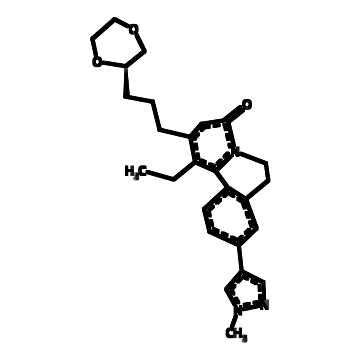 CCc1c(CCC[C@@H]2COCCO2)cc(=O)n2c1-c1ccc(-c3cnn(C)c3)cc1CC2